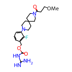 COCCC(=O)N1CCC2(CC1)CCN(c1cccc(COC(=O)NC(=N)N)c1F)CC2